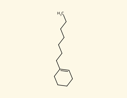 CCCCCCCC1=CCCCC1